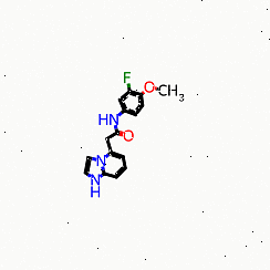 COc1ccc(NC(=O)CC2=CC=CC3NC=CN23)cc1F